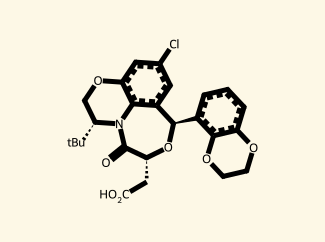 CC(C)(C)[C@@H]1COc2cc(Cl)cc3c2N1C(=O)[C@@H](CC(=O)O)O[C@@H]3c1cccc2c1OCCO2